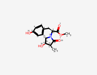 COC(=O)[C@H](Cc1ccc(O)cc1)N1C[C@H](O)[C@H](C)C1=O